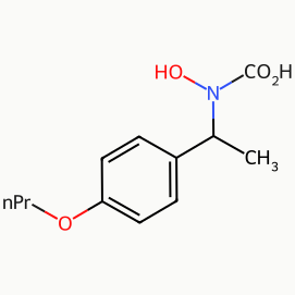 CCCOc1ccc(C(C)N(O)C(=O)O)cc1